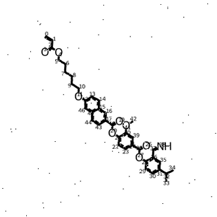 C=CC(=O)OCCCCCCOc1ccc2cc(C(=O)Oc3ccc(C(=O)Oc4ccc(C(C)C)cc4C=N)cc3OC)ccc2c1